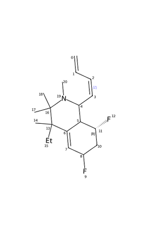 C=C/C=C\C1C2C(=CC(F)C[C@H]2F)C(C)(CC)C(C)(C)N1C